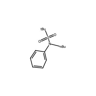 CCCCN(c1ccccc1)S(=O)(=O)C(C)(C)C